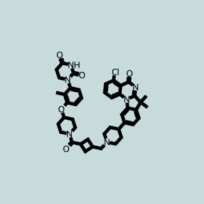 Cc1c(OC2CCN(C(=O)C3CC(CN4CCC(c5ccc6c(c5)-n5c(nc(=O)c7c(Cl)cccc75)C6(C)C)CC4)C3)CC2)cccc1N1CCC(=O)NC1=O